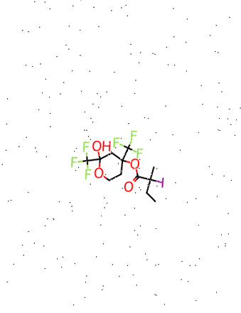 CCC(C)(I)C(=O)OC1(C(F)(F)F)CCOC(O)(C(F)(F)F)C1